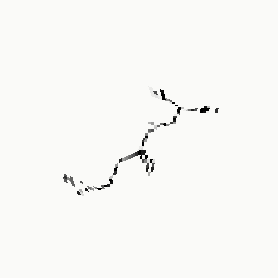 CCCCC(CC)COC(=O)CCN